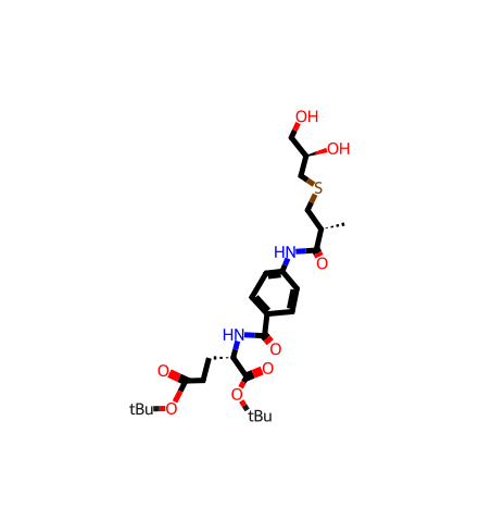 C[C@@H](CSC[C@H](O)CO)C(=O)Nc1ccc(C(=O)N[C@@H](CCC(=O)OC(C)(C)C)C(=O)OC(C)(C)C)cc1